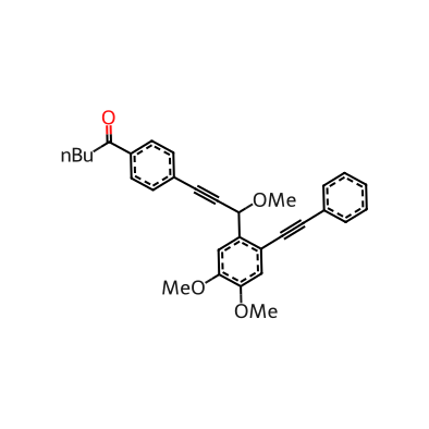 CCCCC(=O)c1ccc(C#CC(OC)c2cc(OC)c(OC)cc2C#Cc2ccccc2)cc1